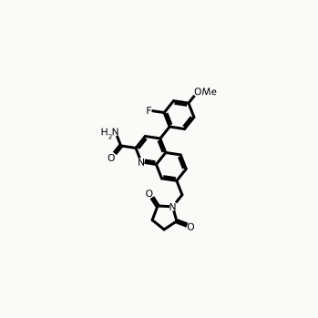 COc1ccc(-c2cc(C(N)=O)nc3cc(CN4C(=O)CCC4=O)ccc23)c(F)c1